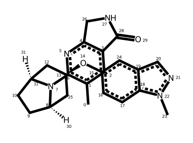 Cc1cc2c(nc1N1[C@@H]3CC[C@H]1C[C@@H](Oc1ccc4c(cnn4C)c1)C3)CNC2=O